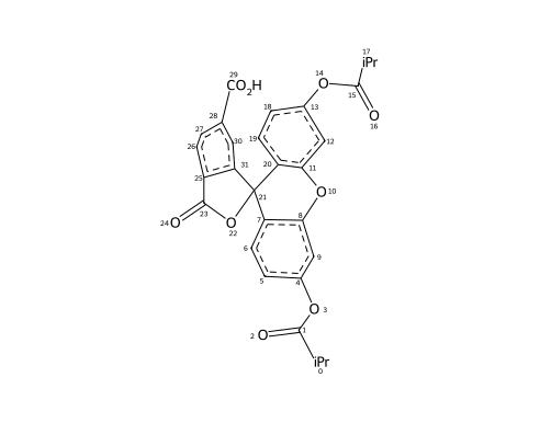 CC(C)C(=O)Oc1ccc2c(c1)Oc1cc(OC(=O)C(C)C)ccc1C21OC(=O)c2ccc(C(=O)O)cc21